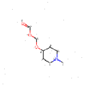 CN1CCC(OCO[C]=O)CC1